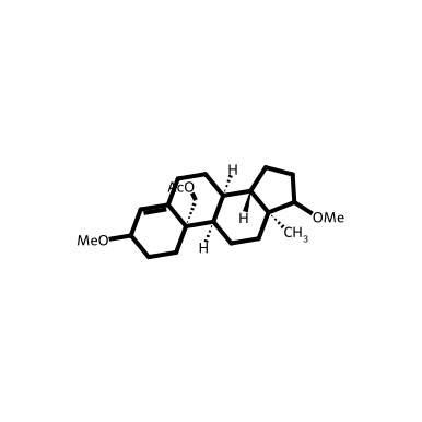 COC1C=C2CC[C@@H]3[C@@H](CC[C@]4(C)C(OC)CC[C@@H]34)[C@@]2(COC(C)=O)CC1